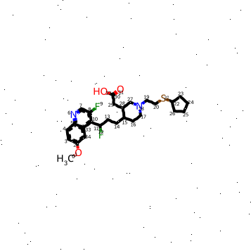 COc1ccc2ncc(F)c(C(F)CCC3CCN(CCSC4CCCC4)CC3CC(=O)O)c2c1